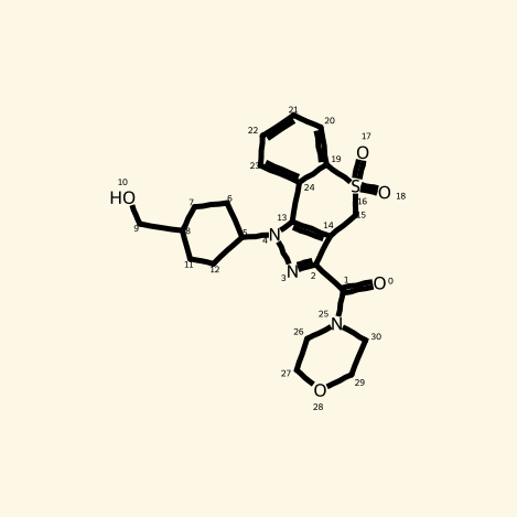 O=C(c1nn(C2CCC(CO)CC2)c2c1CS(=O)(=O)c1ccccc1-2)N1CCOCC1